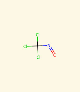 O=NC(Cl)(Cl)Cl